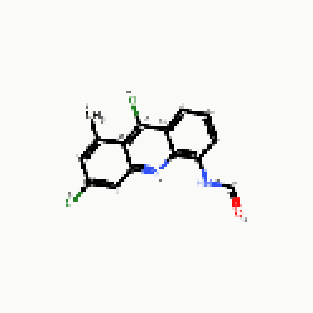 Cc1cc(Cl)cc2nc3c(NC=O)cccc3c(Cl)c12